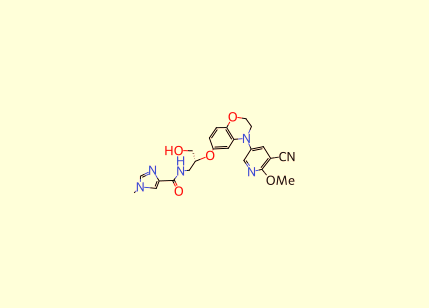 COc1ncc(N2CCOc3ccc(O[C@@H](CO)CNC(=O)c4cn(C)cn4)cc32)cc1C#N